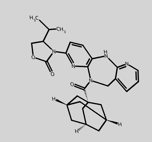 CC(C)C1COC(=O)N1c1ccc2c(n1)N(C(=O)[C@]13C[C@H]4C[C@H](C[C@H](C4)C1)C3)Cc1cccnc1N2